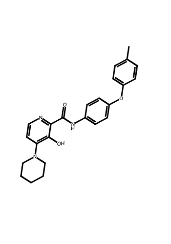 Cc1ccc(Oc2ccc(NC(=O)c3nccc(N4CCCCC4)c3O)cc2)cc1